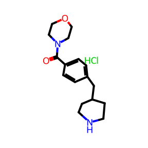 Cl.O=C(c1ccc(CC2CCNCC2)cc1)N1CCOCC1